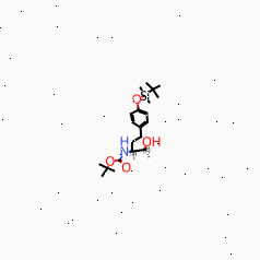 C[C@@H](O)[C@](C)(CCc1ccc(O[Si](C)(C)C(C)(C)C)cc1)NC(=O)OC(C)(C)C